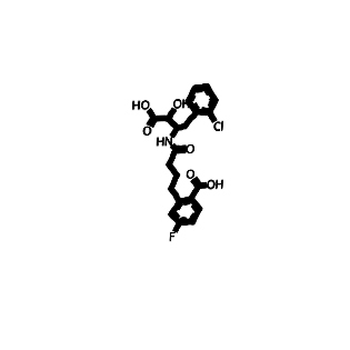 O=C(CCCc1cc(F)ccc1C(=O)O)NC(Cc1ccccc1Cl)C(O)C(=O)O